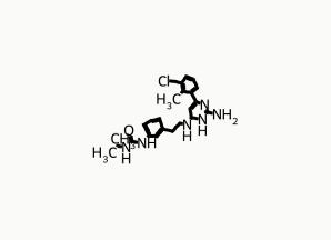 Cc1c(Cl)cccc1C1=CC(NCCc2cccc(NC(=O)NC(C)C)c2)NC(N)=N1